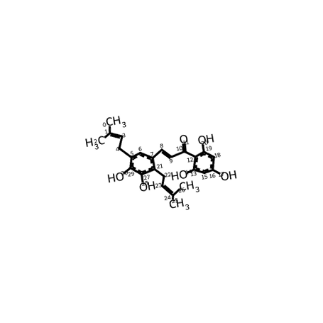 CC(C)=CCc1cc(C=CC(=O)c2c(O)cc(O)cc2O)c(CC=C(C)C)c(O)c1O